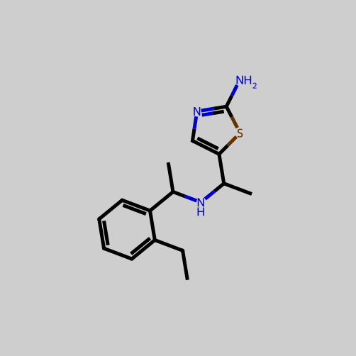 CCc1ccccc1C(C)NC(C)c1cnc(N)s1